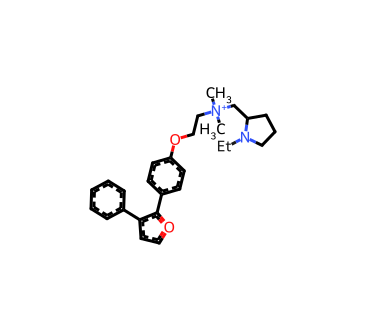 CCN1CCCC1C[N+](C)(C)CCOc1ccc(-c2occc2-c2ccccc2)cc1